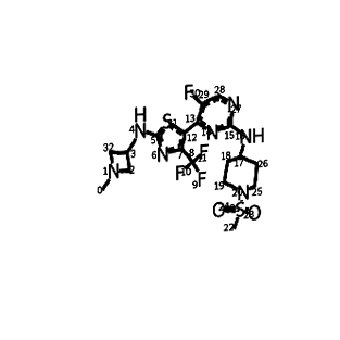 CN1CC(Nc2nc(C(F)(F)F)c(-c3nc(NC4CCN(S(C)(=O)=O)CC4)ncc3F)s2)C1